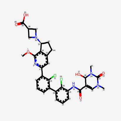 COc1nc(-c2cccc(-c3cccc(NC(=O)C4=CN(C)C(=O)N(C)C4O)c3Cl)c2Cl)cc2c1[C@@H](N1CC(C(=O)O)C1)CC2